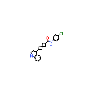 O=C(Nc1ccc(Cl)cc1)C1CC2(C1)CC(c1ccnc3ccccc13)C2